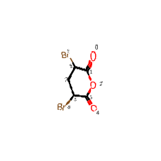 O=C1OC(=O)C(Br)CC1Br